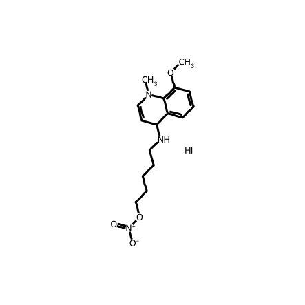 COc1cccc2c1N(C)C=CC2NCCCCCO[N+](=O)[O-].I